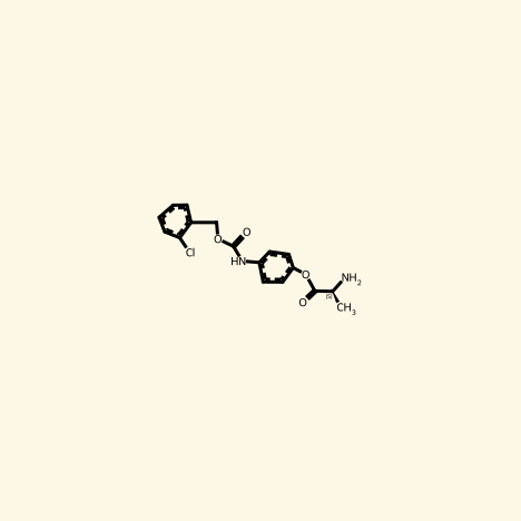 C[C@H](N)C(=O)Oc1ccc(NC(=O)OCc2ccccc2Cl)cc1